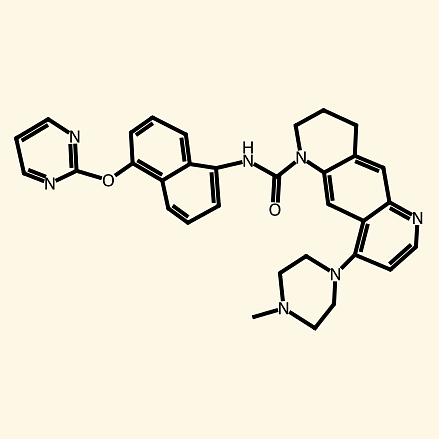 CN1CCN(c2ccnc3cc4c(cc23)N(C(=O)Nc2cccc3c(Oc5ncccn5)cccc23)CCC4)CC1